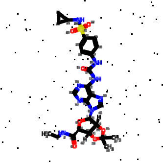 CCNC(=O)[C@H]1O[C@@H](n2cnc3c(NC(=O)Nc4ccc(S(=O)(=O)NC5CC5)cc4)ncnc32)[C@@H]2OC(C)(C)O[C@@H]21